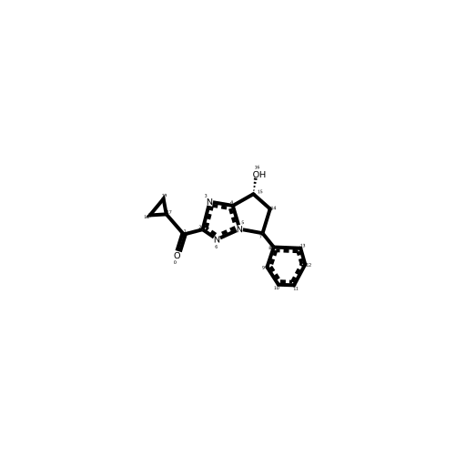 O=C(c1nc2n(n1)C(c1ccccc1)C[C@H]2O)C1CC1